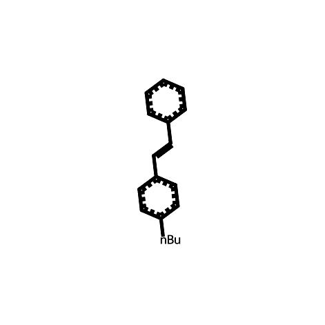 CCCCc1ccc(C=Cc2ccccc2)cc1